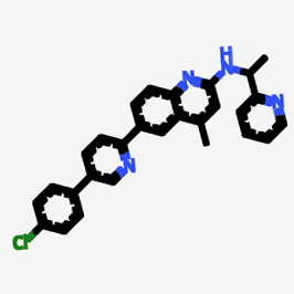 Cc1cc(NC(C)c2ccccn2)nc2ccc(-c3ccc(-c4ccc(Cl)cc4)cn3)cc12